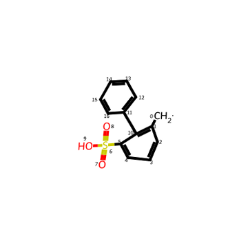 [CH2]c1cccc(S(=O)(=O)O)c1-c1ccccc1